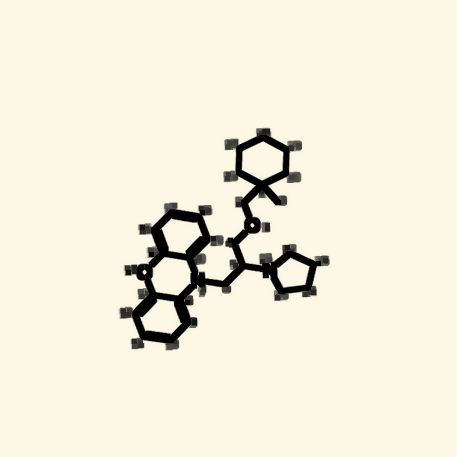 CC1(COCC(CN2c3ccccc3Oc3ccccc32)N2CCCC2)CCCCC1